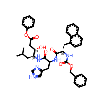 CC(C)C[C@H](NC(=O)C(Cc1c[nH]cn1)NC(=O)[C@H](Cc1cccc2ccccc12)NC(=O)OCc1ccccc1)[C@@H](O)CC(=O)Oc1ccccc1